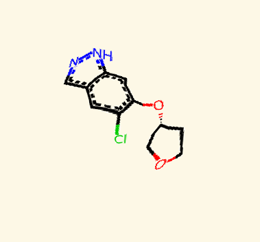 Clc1cc2cn[nH]c2cc1O[C@@H]1CCOC1